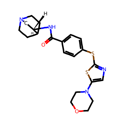 O=C(N[C@H]1CN2CCC1CC2)c1ccc(Sc2ncc(N3CCOCC3)s2)cc1